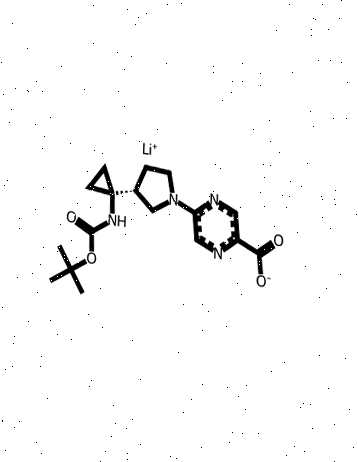 CC(C)(C)OC(=O)NC1([C@@H]2CCN(c3cnc(C(=O)[O-])cn3)C2)CC1.[Li+]